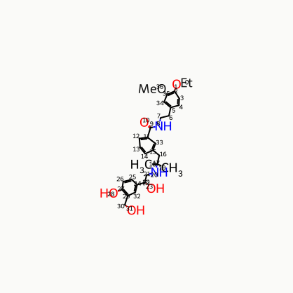 CCOc1ccc(CCNC(=O)c2cccc(CC(C)(C)NC[C@H](O)c3ccc(O)c(CO)c3)c2)cc1OC